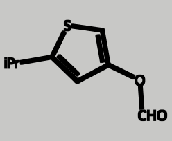 CC(C)c1cc(OC=O)cs1